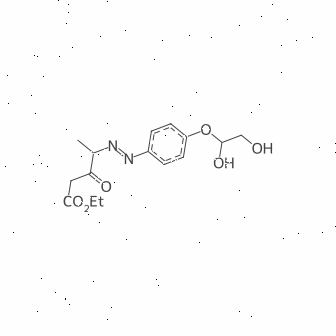 CCOC(=O)CC(=O)C(C)N=Nc1ccc(OC(O)CO)cc1